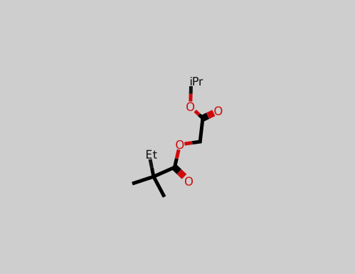 CCC(C)(C)C(=O)OCC(=O)OC(C)C